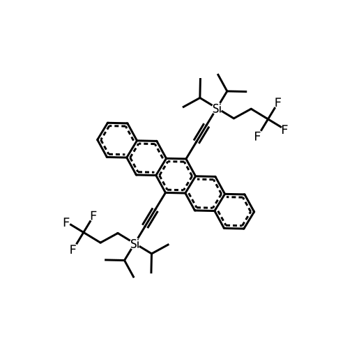 CC(C)[Si](C#Cc1c2cc3ccccc3cc2c(C#C[Si](CCC(F)(F)F)(C(C)C)C(C)C)c2cc3ccccc3cc12)(CCC(F)(F)F)C(C)C